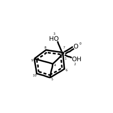 O=P(O)(O)C1c2cccc1c2